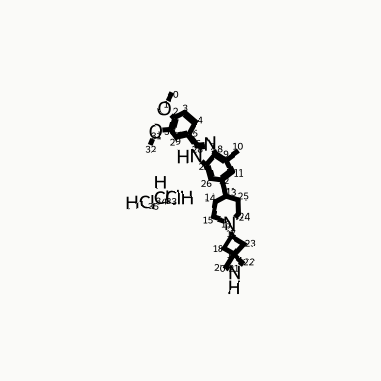 COc1ccc(-c2nc3c(C)cc(C4CCN(C5CC6(CNC6)C5)CC4)cc3[nH]2)cc1OC.Cl.Cl.Cl